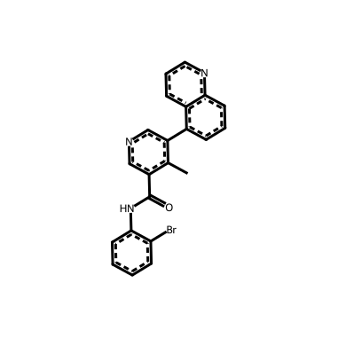 Cc1c(C(=O)Nc2ccccc2Br)cncc1-c1cccc2ncccc12